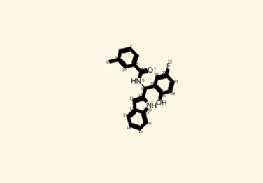 Cc1cccc(C(=O)N[C@@H](c2cc3ccccc3[nH]2)c2cc(F)ccc2O)c1